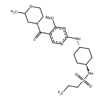 COc1nc(N[C@H]2CC[C@H](NS(=O)(=O)CCC(F)(F)F)CC2)ncc1C(=S)N1CCOC(C)C1